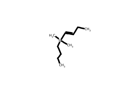 CC/C=C/[Si](C)(C)CCCC